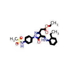 CCOC(=O)CC1=NN(c2ccc(NS(C)(=O)=O)cc2)C(=O)C1=CNc1ccccc1CC